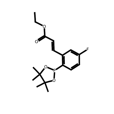 CCOC(=O)/C=C/c1cc(F)ccc1P1OC(C)(C)C(C)(C)O1